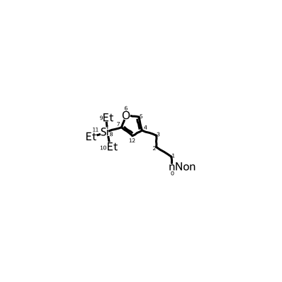 CCCCCCCCCCCCc1coc([Si](CC)(CC)CC)c1